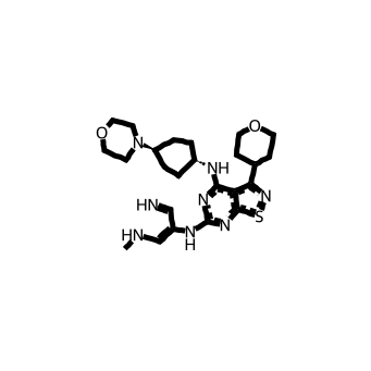 CN/C=C(\C=N)Nc1nc(N[C@H]2CC[C@H](N3CCOCC3)CC2)c2c(C3CCOCC3)nsc2n1